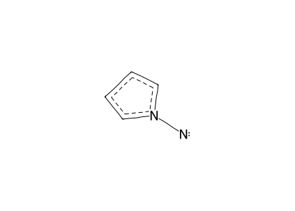 [N]n1cccc1